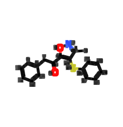 Cc1noc(C(=O)Cc2ccccc2)c1Sc1ccccc1